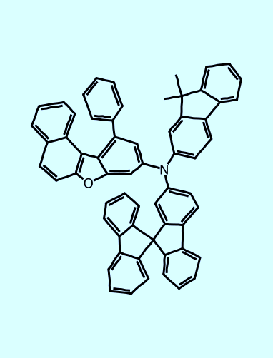 CC1(C)c2ccccc2-c2ccc(N(c3ccc4c(c3)C3(c5ccccc5-c5ccccc53)c3ccccc3-4)c3cc(-c4ccccc4)c4c(c3)oc3ccc5ccccc5c34)cc21